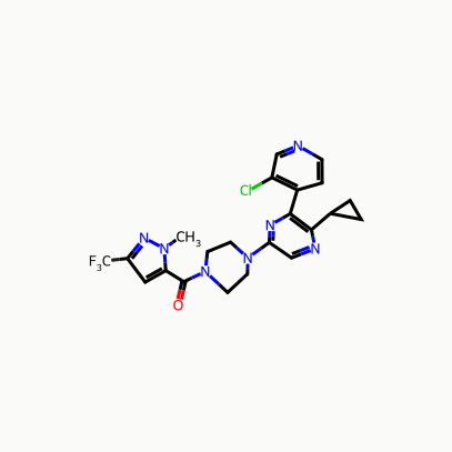 Cn1nc(C(F)(F)F)cc1C(=O)N1CCN(c2cnc(C3CC3)c(-c3ccncc3Cl)n2)CC1